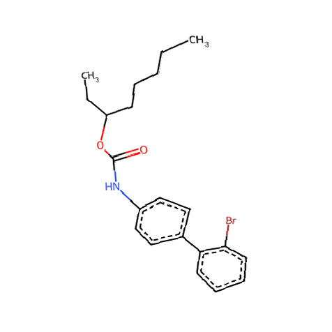 CCCCCC(CC)OC(=O)Nc1ccc(-c2ccccc2Br)cc1